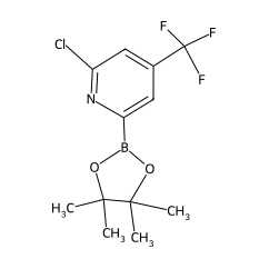 CC1(C)OB(c2cc(C(F)(F)F)cc(Cl)n2)OC1(C)C